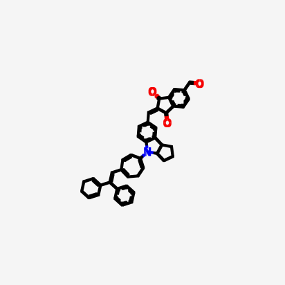 O=Cc1ccc2c(c1)C(=O)C(=Cc1ccc3c(c1)C1CCCC1N3C1=CCC=C(/C=C(/C3=CCCC=C3)c3ccccc3)C=C1)C2=O